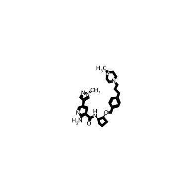 CN1CCN(CCCc2ccc(CO[C@H]3CCC[C@@H]3NC(=O)c3cc(-c4cnn(C)c4)cnc3N)cc2)CC1